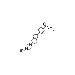 CC(C)N1CCN(C2CCc3cc(-c4ccc(C(N)=O)cc4)ccc3C2)CC1